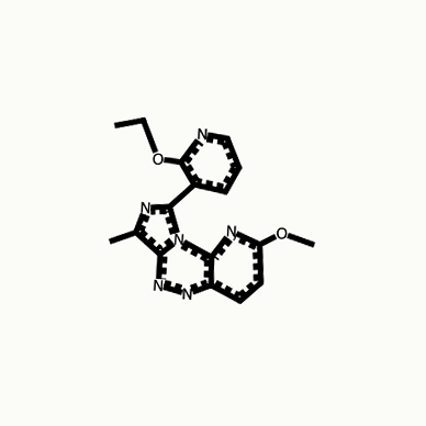 CCOc1ncccc1-c1nc(C)c2nnc3ccc(OC)nc3n12